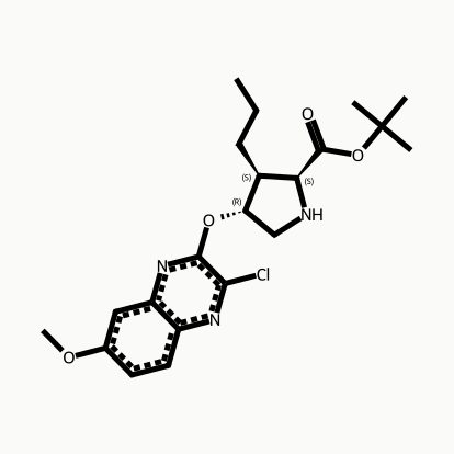 CCC[C@@H]1[C@@H](Oc2nc3cc(OC)ccc3nc2Cl)CN[C@@H]1C(=O)OC(C)(C)C